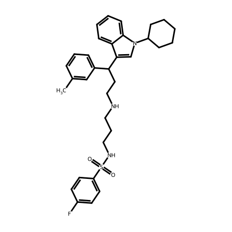 Cc1cccc(C(CCNCCCNS(=O)(=O)c2ccc(F)cc2)c2cn(C3CCCCC3)c3ccccc23)c1